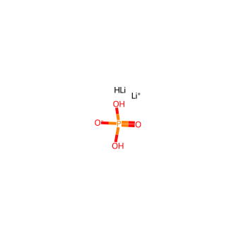 O=P([O-])(O)O.[Li+].[LiH]